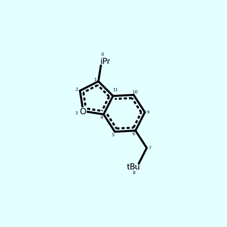 CC(C)c1coc2cc(CC(C)(C)C)ccc12